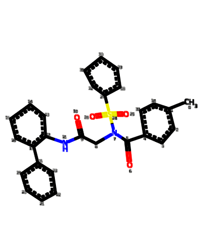 Cc1ccc(C(=O)N(CC(=O)Nc2ccccc2-c2ccccc2)S(=O)(=O)c2ccccc2)cc1